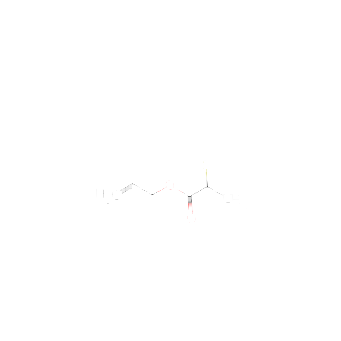 C=CCOC(=O)C(C)[S]